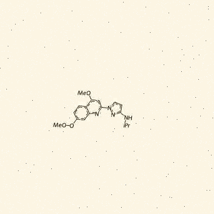 COOc1ccc2c(OC)cc(-n3ccc(NC(C)C)n3)nc2c1